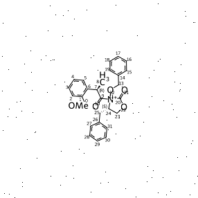 COc1ccccc1[C@@H](C)C(=O)[N+]1(OCc2ccccc2)C(=O)OC[C@@H]1Cc1ccccc1